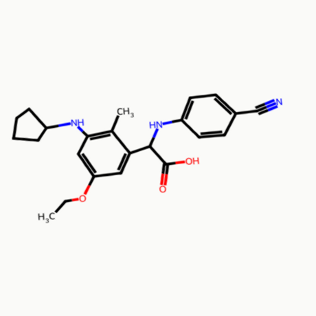 CCOc1cc(NC2CCCC2)c(C)c(C(Nc2ccc(C#N)cc2)C(=O)O)c1